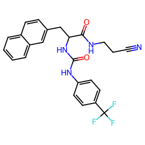 N#CCCNC(=O)C(Cc1ccc2ccccc2c1)NC(=O)Nc1ccc(C(F)(F)F)cc1